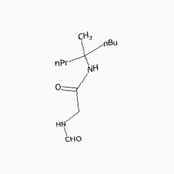 CCCCC(C)(CCC)NC(=O)CNC=O